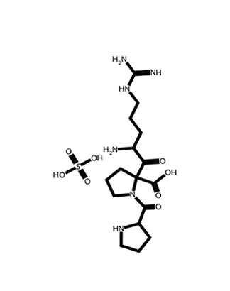 N=C(N)NCCCC(N)C(=O)C1(C(=O)O)CCCN1C(=O)C1CCCN1.O=S(=O)(O)O